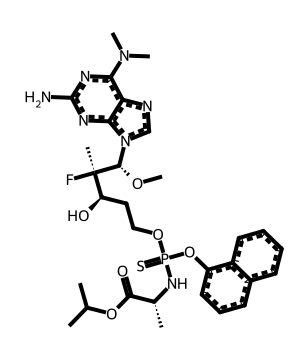 CO[C@@H](n1cnc2c(N(C)C)nc(N)nc21)[C@](C)(F)[C@H](O)CCOP(=S)(N[C@H](C)C(=O)OC(C)C)Oc1cccc2ccccc12